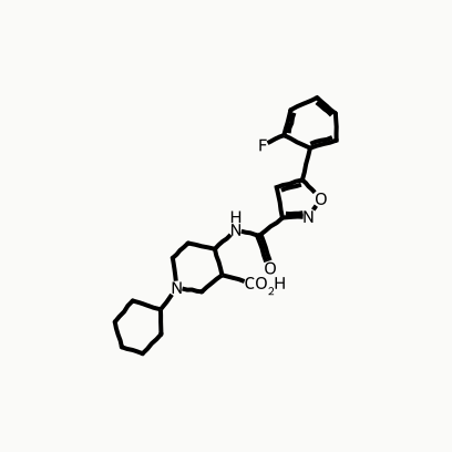 O=C(NC1CCN(C2CCCCC2)CC1C(=O)O)c1cc(-c2ccccc2F)on1